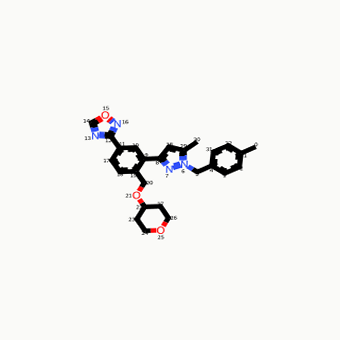 Cc1ccc(Cn2nc(-c3cc(-c4ncon4)ccc3COC3CCOCC3)cc2C)cc1